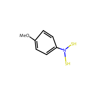 COc1ccc(N(S)S)cc1